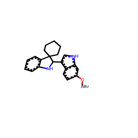 CCCCOc1ccc2c(C3Nc4ccccc4C34CCCCC4)c[nH]c2c1